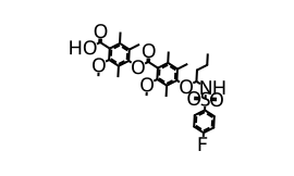 CCCC(NS(=O)(=O)c1ccc(F)cc1)Oc1c(C)c(C)c(C(=O)Oc2c(C)c(C)c(C(=O)O)c(OC)c2C)c(OC)c1C